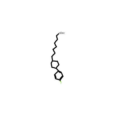 CCCCCCCCCCCCCCCCCC1CCC(c2ccc(F)cc2)CC1